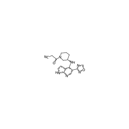 N#CCC(=O)N1CCC[C@@H](Nc2c(-c3ncon3)cnc3[nH]ccc23)C1